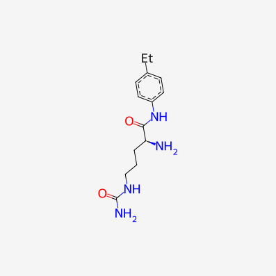 CCc1ccc(NC(=O)[C@@H](N)CCCNC(N)=O)cc1